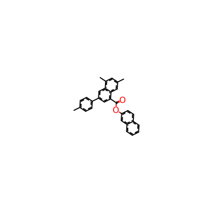 Cc1ccc(-c2cc(C(=O)Oc3ccc4ccccc4c3)c3cc(C)cc(C)c3c2)cc1